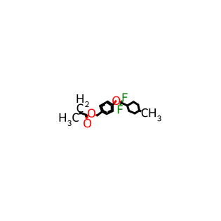 C=C(C)C(=O)OCc1ccc(OC(F)(F)C2CCC(C)CC2)cc1